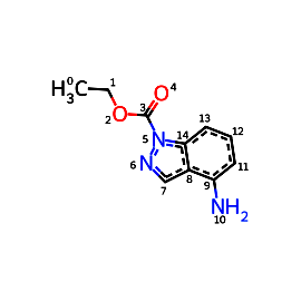 CCOC(=O)n1ncc2c(N)cccc21